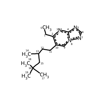 CCc1nc2ncnn2cc1CCC(C)CC(C)(C)C